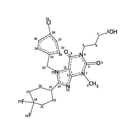 Cn1c(=O)n(CCCO)c(=O)c2c1nc(C1CCC(F)(F)CC1)n2Cc1ccc(Cl)cc1